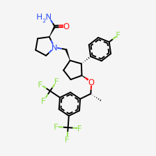 C[C@@H](O[C@H]1CC[C@@H](CN2CCC[C@H]2C(N)=O)[C@@H]1c1ccc(F)cc1)c1cc(C(F)(F)F)cc(C(F)(F)F)c1